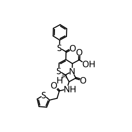 O=C(Cc1cccs1)NC1C(=O)N2C(C(=O)O)C(C(=O)Sc3ccccc3)=CS[C@H]12